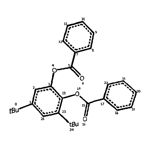 CC(C)(C)c1cc(OC(=O)c2ccccc2)c(OC(=O)c2ccccc2)c(C(C)(C)C)c1